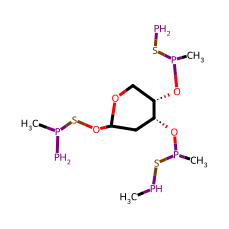 CPSP(C)O[C@@H]1CC(OSP(C)P)OC[C@@H]1OP(C)SP